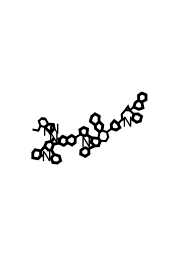 CCC1CC=Cc2cnc(-n3c4cc5cc(-c6cccc7c8c9c(cc%10c%11ccccc%11n(c67)c%108)CCC(c6ccc(C7=Nc8ccccc8C8(c%10ccc%11ccccc%11c%10)CC8C7)cc6)c6cc7ccccc7cc6-9)ccc5cc4c4c5c6ccccc6n6c7ccccc7c(cc43)c56)nc21